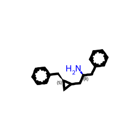 N[C@@H](Cc1ccccc1)CC1C[C@H]1Cc1ccccc1